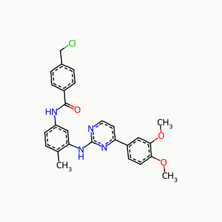 COc1ccc(-c2ccnc(Nc3cc(NC(=O)c4ccc(CCl)cc4)ccc3C)n2)cc1OC